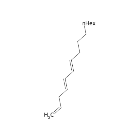 C=CCC=CC=CCCCCCCCCC